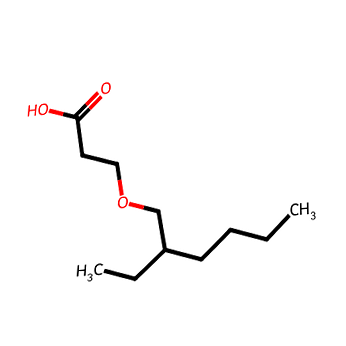 CCCCC(CC)COCCC(=O)O